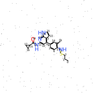 CCCSNc1ccc(-c2cc(NC(=O)C3CC3)nc3[nH]ccc23)cc1C